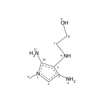 Cn1cc(N)c(NCCO)c1N